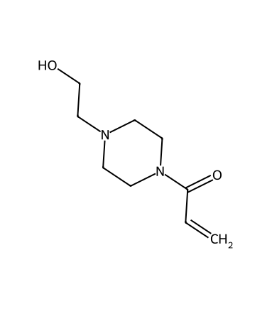 C=CC(=O)N1CCN(CCO)CC1